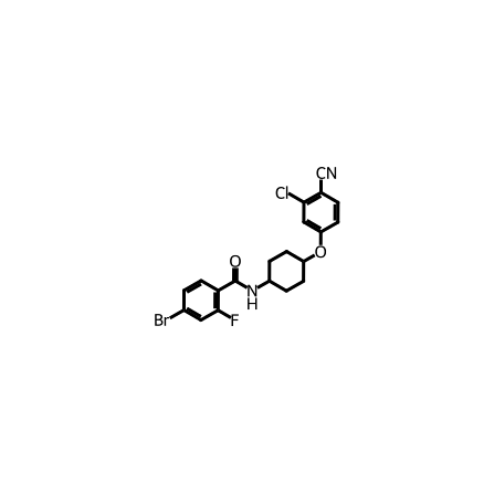 N#Cc1ccc(OC2CCC(NC(=O)c3ccc(Br)cc3F)CC2)cc1Cl